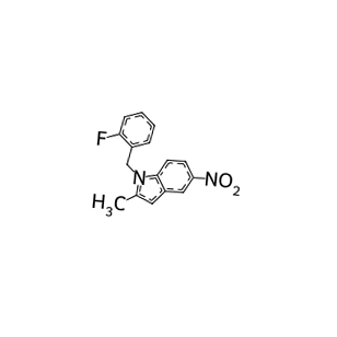 Cc1cc2cc([N+](=O)[O-])ccc2n1Cc1ccccc1F